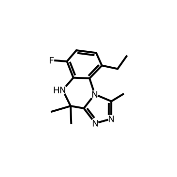 CCc1ccc(F)c2c1-n1c(C)nnc1C(C)(C)N2